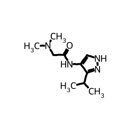 CC(C)c1n[nH]cc1NC(=O)CN(C)C